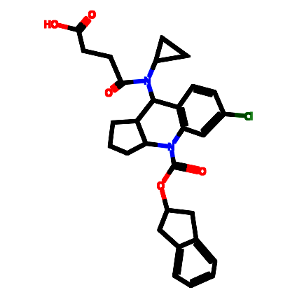 O=C(O)CCC(=O)N(C1CC1)C1c2ccc(Cl)cc2N(C(=O)OC2Cc3ccccc3C2)C2CCCC21